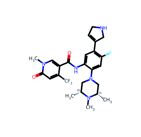 C[C@@H]1CN(c2cc(F)c(C3=CCNC3)cc2NC(=O)c2cn(C)c(=O)cc2C(F)(F)F)C[C@H](C)N1C